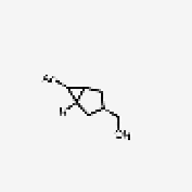 CC(=O)[C@H]1C2C[C@@H](CO)C[C@@H]21